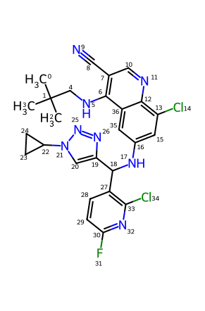 CC(C)(C)CNc1c(C#N)cnc2c(Cl)cc(NC(c3cn(C4CC4)nn3)c3ccc(F)nc3Cl)cc12